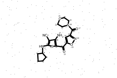 N#Cc1c(NC2CCCC2)sc(C(=O)c2cc(C(=O)N3CCOCC3)no2)c1N